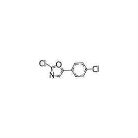 Clc1ccc(-c2cnc(Cl)o2)cc1